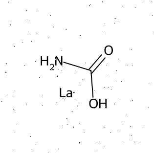 NC(=O)O.[La]